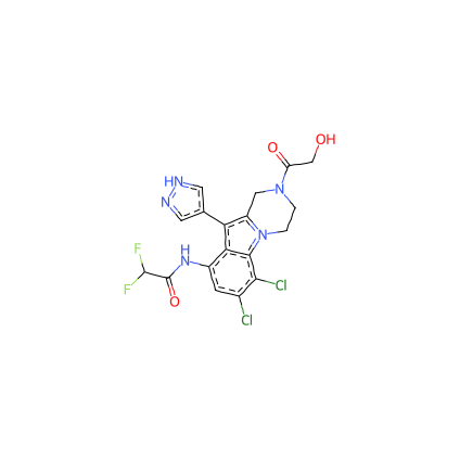 O=C(Nc1cc(Cl)c(Cl)c2c1c(-c1cn[nH]c1)c1n2CCN(C(=O)CO)C1)C(F)F